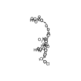 CC1(C)CCC(CN2CCN(c3ccc(C(=O)NS(=O)(=O)c4ccc(NCC5CCN(CCOCCOCC#Cc6ccc7c(c6)CN(C6CCC(=O)NC6=O)C7=O)CC5)c([N+](=O)[O-])c4)c(Oc4cnc5[nH]ccc5c4)c3)CC2)=C(c2ccc(Cl)cc2)C1